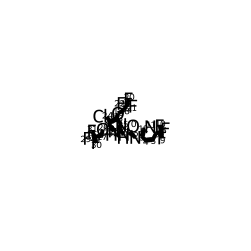 O=C(Nc1ccc(C(F)(F)F)nc1)Nc1nc(OCC(F)(F)F)c(Cl)c(OCC(F)(F)F)n1